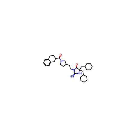 N=C1NC(CC2CCCCC2)(CC2CCCCC2)C(=O)N1CCC1CCN(C(=O)C2CCc3ccccc3C2)C1